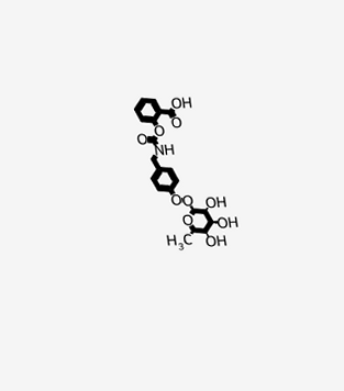 C[C@H]1O[C@@H](OOc2ccc(CNC(=O)Oc3ccccc3C(=O)O)cc2)[C@H](O)[C@@H](O)[C@@H]1O